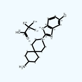 NC1CCC2(CC1)CCN(c1nc3cc(Cl)ccc3o1)CC2.O=C(O)C(F)(F)F